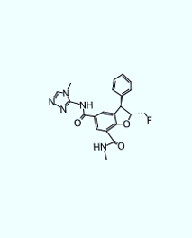 CNC(=O)c1cc(C(=O)Nc2nncn2C)cc2c1O[C@@H](CF)[C@@H]2c1ccccc1